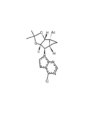 CC(=O)[C@]12C[C@@H]1[C@@H](n1ccc3c(Cl)ncnc31)[C@@H]1OC(C)(C)O[C@@H]12